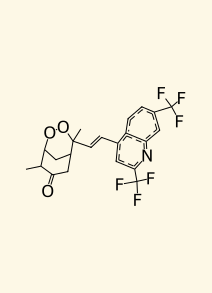 CC1C(=O)CC2CC1OOC2(C)C=Cc1cc(C(F)(F)F)nc2cc(C(F)(F)F)ccc12